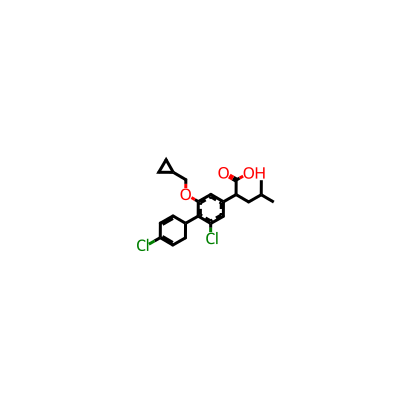 CC(C)CC(C(=O)O)c1cc(Cl)c(C2C=CC(Cl)=CC2)c(OCC2CC2)c1